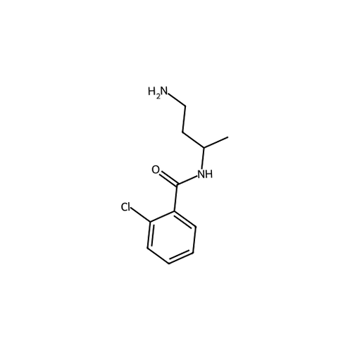 CC(CCN)NC(=O)c1ccccc1Cl